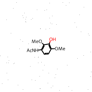 COc1ccc(NC(C)=O)c(OC)c1O